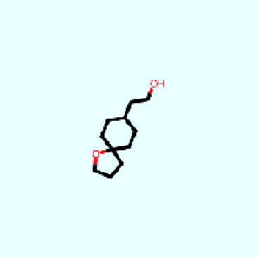 OCCC1CCC2(CCCO2)CC1